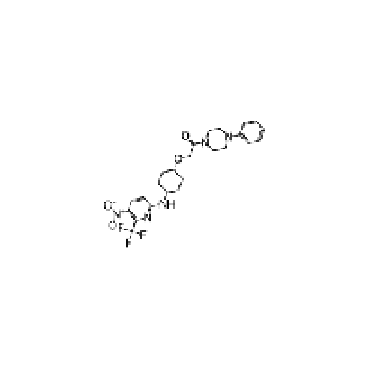 O=C(CO[C@H]1CC[C@H](Nc2ccc([N+](=O)[O-])c(C(F)(F)F)n2)CC1)N1CCN(c2ccccc2)CC1